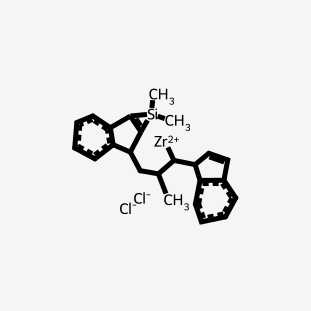 CC(CC1C2=C(c3ccccc31)[Si]2(C)C)[CH]([Zr+2])C1C=Cc2ccccc21.[Cl-].[Cl-]